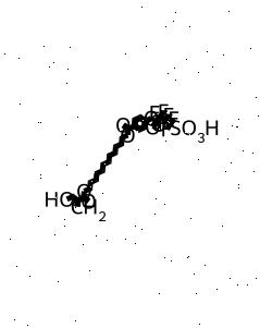 C=C(CO)C(=O)OCCCCCCCCCCCCOC(=O)c1ccc(OS(=O)(=O)C(F)(F)C(F)(F)C(F)(F)S(=O)(=O)O)cc1